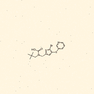 CC(C)(C)CN(Cc1cc(Sc2cccnc2)c(Br)s1)C(=O)O